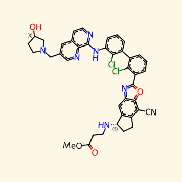 COC(=O)CCN[C@H]1CCc2c1cc1nc(-c3cccc(-c4cccc(Nc5nccc6cc(CN7CC[C@@H](O)C7)cnc56)c4Cl)c3Cl)oc1c2C#N